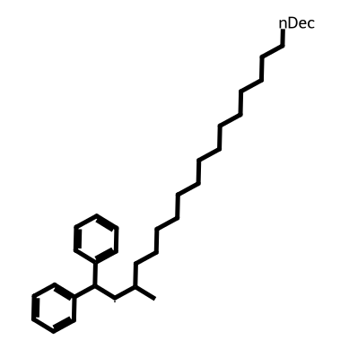 CCCCCCCCCCCCCCCCCCCCCCCCC(C)[CH]C(c1ccccc1)c1ccccc1